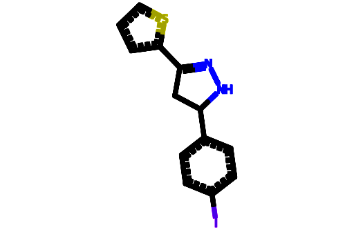 Ic1ccc(C2CC(c3cccs3)=NN2)cc1